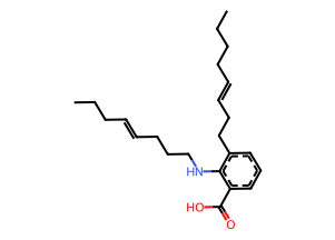 CCCC=CCCCNc1c(CCC=CCCCC)cccc1C(=O)O